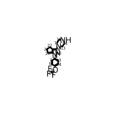 FC(F)(F)Oc1ccc(-n2nc(N3CCNCC3)c3c2CCC3)cc1